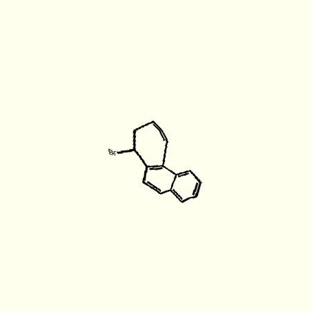 BrC1CC=Cc2c1ccc1ccccc21